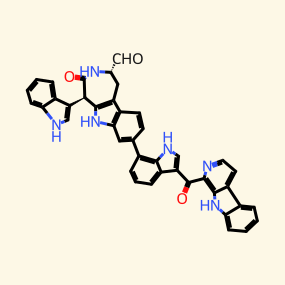 O=C[C@@H]1Cc2c([nH]c3cc(-c4cccc5c(C(=O)c6nccc7c6[nH]c6ccccc67)c[nH]c45)ccc23)[C@@H](c2c[nH]c3ccccc23)C(=O)N1